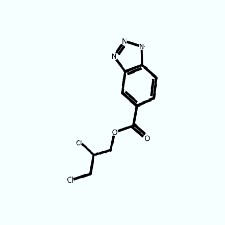 O=C(OCC(Cl)CCl)c1ccc2c(c1)N=N[N]2